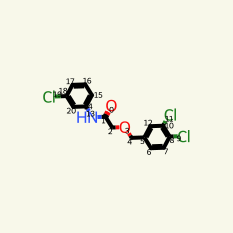 O=C(COCc1ccc(Cl)c(Cl)c1)Nc1cccc(Cl)c1